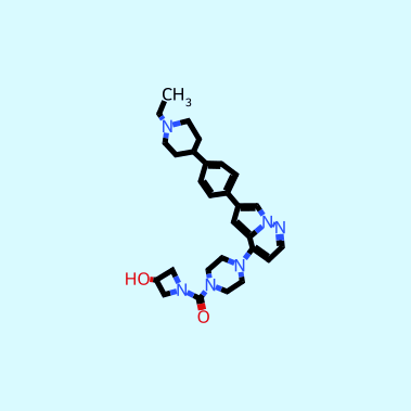 CCN1CCC(c2ccc(-c3cc4c(N5CCN(C(=O)N6CC(O)C6)CC5)ccnn4c3)cc2)CC1